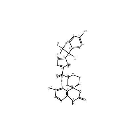 O=C1Nc2ccc(Cl)c(F)c2[C@@]2(CCCN(C(=O)c3cnc(C(Cl)(c4ccc(F)cc4)C(F)(F)F)[nH]3)C2)O1